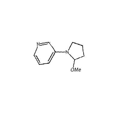 COC1CCCN1c1[c]nccc1